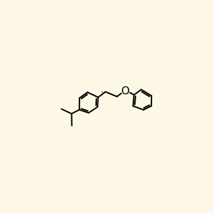 CC(C)c1ccc([CH]COc2ccccc2)cc1